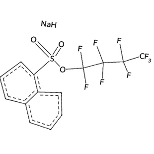 O=S(=O)(OC(F)(F)C(F)(F)C(F)(F)C(F)(F)F)c1cccc2ccccc12.[NaH]